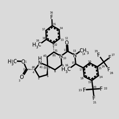 COC(=O)[C@H]1CC[C@@]2(CCN(C(=O)N(C)C(C)c3cc(C(F)(F)F)cc(C(F)(F)F)c3)[C@@H](c3ccc(F)cc3C)C2)N1